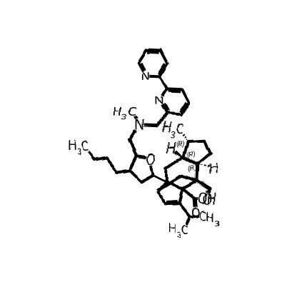 CCCCC1CC(C23C[C@@H]4[C@H](C)CC[C@H]4C4(C=O)CC2C=C(C(C)C)C34C(=O)O)OC1CN(C)Cc1cccc(-c2ccccn2)n1